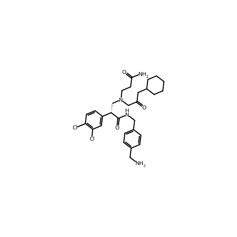 NCc1ccc(CNC(=O)[C@@H](CN(CCC(N)=O)CC(=O)CC2CCCCC2)c2ccc(Cl)c(Cl)c2)cc1